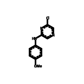 COc1ccc(Nc2cncc(Cl)n2)cc1